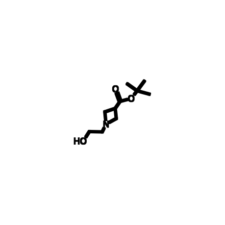 CC(C)(C)OC(=O)C1CN(CCO)C1